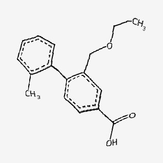 CCOCc1cc(C(=O)O)ccc1-c1ccccc1C